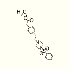 CCOC(=O)Cc1ccc(CCN2CCN(S(=O)(=O)c3ccccc3)CC2)cc1